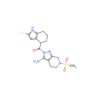 CS(=O)(=O)N1CCc2c(nn(C(=O)C3CCCc4[nH]c(F)cc43)c2N)C1